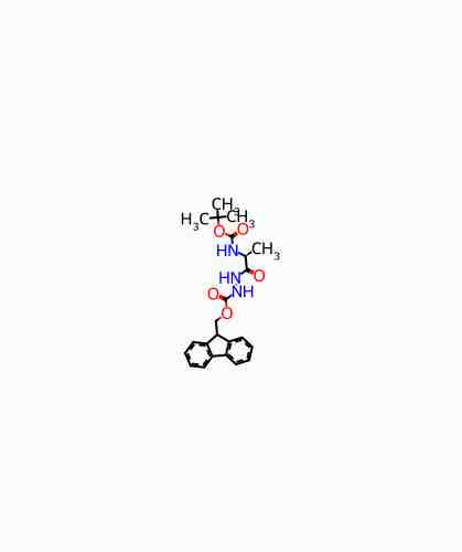 C[C@H](NC(=O)OC(C)(C)C)C(=O)NNC(=O)OCC1c2ccccc2-c2ccccc21